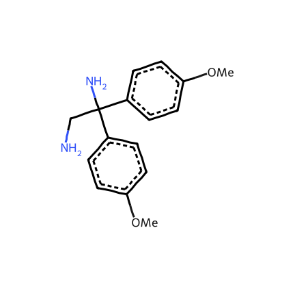 COc1ccc(C(N)(CN)c2ccc(OC)cc2)cc1